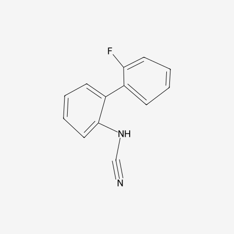 N#CNc1ccccc1-c1ccccc1F